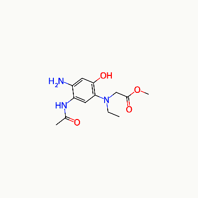 CCN(CC(=O)OC)c1cc(NC(C)=O)c(N)cc1O